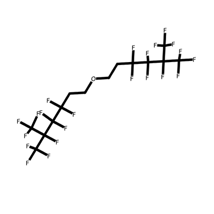 FC(F)(F)C(F)(C(F)(F)F)C(F)(F)C(F)(F)CCOCCC(F)(F)C(F)(F)C(F)(C(F)(F)F)C(F)(F)F